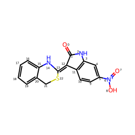 O=C1Nc2cc([N+](=O)O)ccc2/C1=C1/Nc2ccccc2CS1